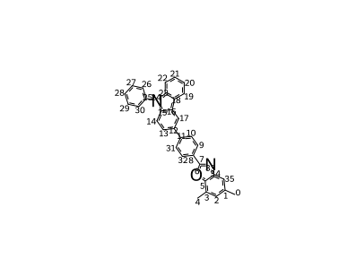 Cc1cc(C)c2oc(-c3ccc(-c4ccc5c(c4)c4ccccc4n5-c4ccccc4)cc3)nc2c1